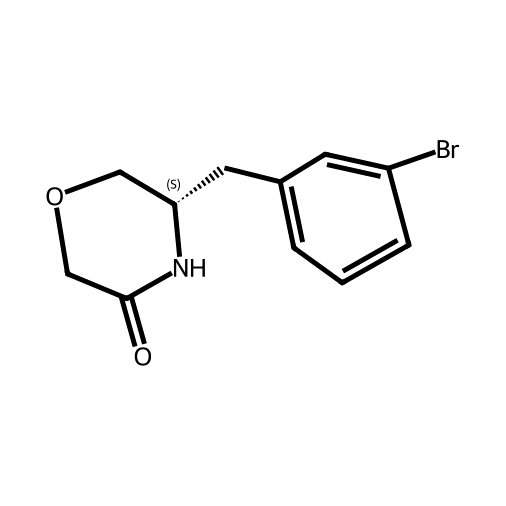 O=C1COC[C@H](Cc2cccc(Br)c2)N1